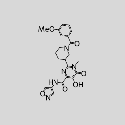 COc1cccc(C(=O)N2CCCC(c3nc(C(=O)Nc4cnoc4)c(O)c(=O)n3C)C2)c1